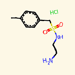 Cc1ccc(CS(=O)(=O)NCCN)cc1.Cl